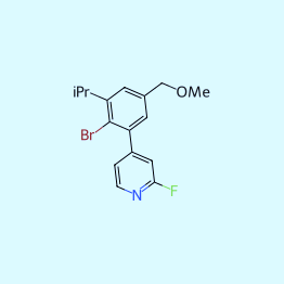 COCc1cc(-c2ccnc(F)c2)c(Br)c(C(C)C)c1